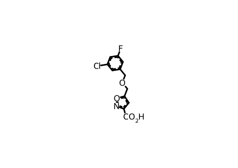 O=C(O)c1cc(COCc2cc(F)cc(Cl)c2)on1